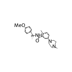 COc1ccc([C@@H](C)NC(=O)c2cc(N3CCN(C)CC3)ccc2C)cc1